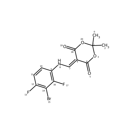 CC1(C)OC(=O)C(=CNc2ccc(F)c(Br)c2F)C(=O)O1